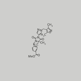 COC(=O)c1ccc(CN2C(=O)N(c3cnn(Cc4c(C)noc4C)c3)C(=O)C2(C)C)cc1